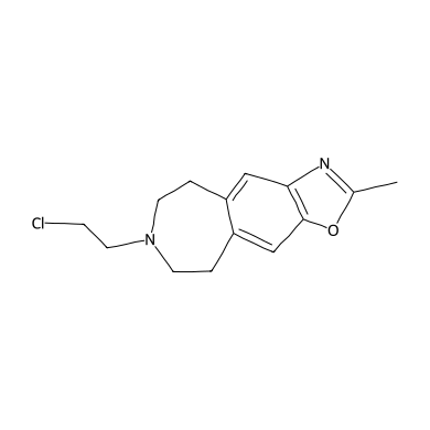 Cc1nc2cc3c(cc2o1)CCN(CCCl)CC3